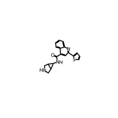 O=C(NC1C2CNCC21)c1cc(-c2cccs2)nc2ccccc12